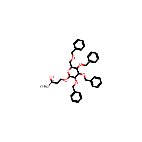 CCCCCC[C@@H](O)CCOC1OC(COCc2ccccc2)C(OCc2ccccc2)C(OCc2ccccc2)C1OCc1ccccc1